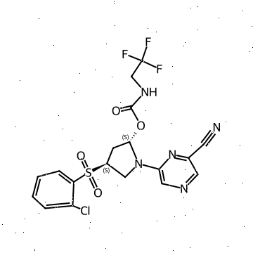 N#Cc1cncc(N2C[C@@H](S(=O)(=O)c3ccccc3Cl)C[C@@H]2OC(=O)NCC(F)(F)F)n1